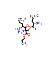 C=CCOC(=O)[C@@](N)(CSC(=O)[C@@H](N)CCC(=O)O)C(=O)[C@@H](N)CCC(=O)O